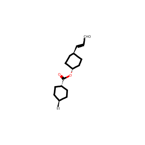 CC[C@H]1CC[C@H](C(=O)O[C@H]2CC[C@H](C=CC=O)CC2)CC1